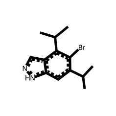 CC(C)c1cc2[nH]ncc2c(C(C)C)c1Br